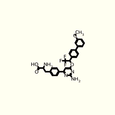 COc1cccc(-c2ccc(C(Oc3cc(-c4ccc(CC(N)C(=O)O)cc4)nc(N)n3)C(F)(F)F)cc2)c1